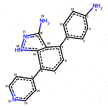 Nc1ccc(-c2ccc(-c3ccncc3)c3[nH]nc(N)c23)cc1